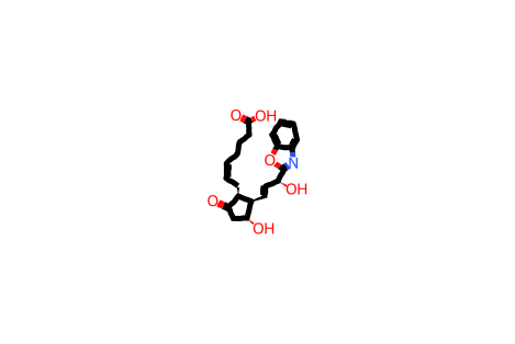 O=C(O)CCC/C=C\C[C@H]1C(=O)C[C@@H](O)[C@@H]1/C=C/[C@@H](O)c1nc2ccccc2o1